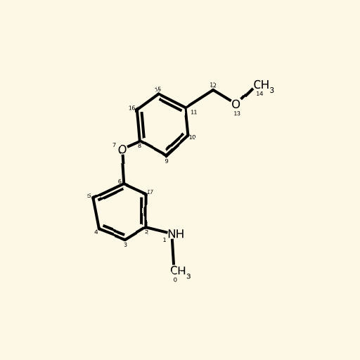 CNc1cccc(Oc2ccc(COC)cc2)c1